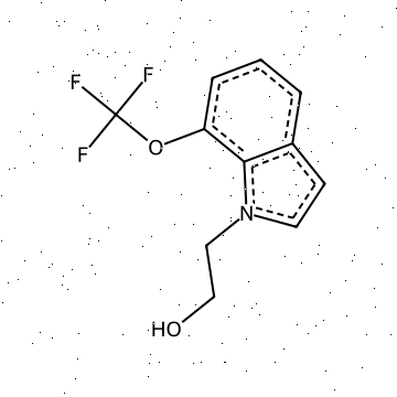 OCCn1ccc2cccc(OC(F)(F)F)c21